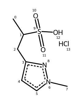 CC(Cc1ccn(C)n1)S(=O)(=O)O.Cl